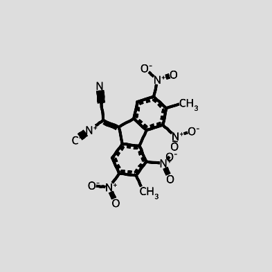 [C-]#[N+]C(C#N)=C1c2cc([N+](=O)[O-])c(C)c([N+](=O)[O-])c2-c2c1cc([N+](=O)[O-])c(C)c2[N+](=O)[O-]